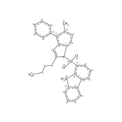 CCCCC1=Cc2c(ccc(C)c2-c2ccccc2)[CH]1[Zr]([Cl])([Cl])[c]1cccc2c1[SiH2]c1ccccc1-2